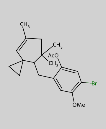 COc1cc(CC2C(C)(C)CC(C)=CC23CC3)c(OC(C)=O)cc1Br